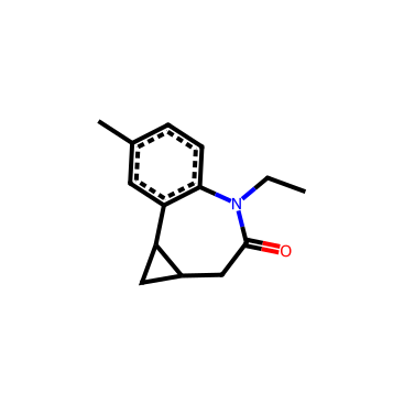 CCN1C(=O)CC2CC2c2cc(C)ccc21